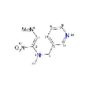 CNC=C(N(C)Cc1cccnc1)[N+](=O)[O-]